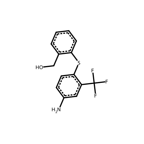 Nc1ccc(Sc2ccccc2CO)c(C(F)(F)F)c1